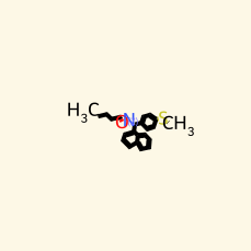 CCCCCO/N=C(/c1ccc(SC)cc1)c1cccc2ccccc12